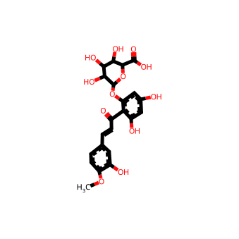 COc1ccc(C=CC(=O)c2c(O)cc(O)cc2OC2OC(C(=O)O)C(O)C(O)C2O)cc1O